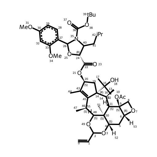 C=CC1O[C@H]2C[C@H]3OC[C@@]3(OC(C)=O)[C@H]3[C@H](C)[C@]4(C(C)(C)O)C[C@H](OC(=O)[C@@H]5OC(c6ccc(OC)cc6OC)N(C(=O)OC(C)(C)C)C5CC(C)C)C(C)=C4[C@H](C)[C@H](O1)[C@]23C